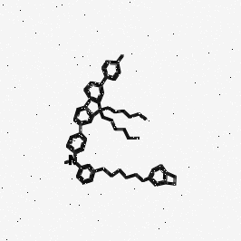 CCCCCCC1(CCCCCC)c2cc(-c3ccc(C)cc3)ccc2-c2ccc(-c3ccc(N(C)c4cccc(CCCCCCc5ccc6c(c5)CC6)c4)cc3)cc21